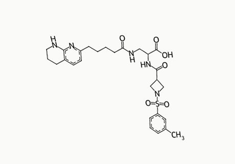 Cc1cccc(S(=O)(=O)N2CC(C(=O)NC(CNC(=O)CCCCc3ccc4c(n3)NCCC4)C(=O)O)C2)c1